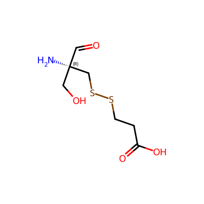 N[C@@](C=O)(CO)CSSCCC(=O)O